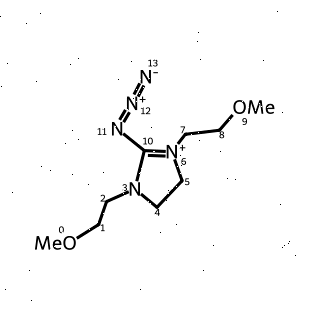 COCCN1CC[N+](CCOC)=C1N=[N+]=[N-]